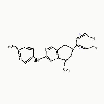 C/C=C\C(=C/C)N1Cc2cnc(Nc3ccc(C)nc3)nc2N(C)C1